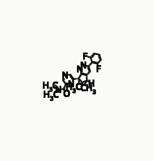 CN(C)C(=O)c1cncc([C@@]23CC[C@@H](c4cc(-c5c(F)cccc5F)nnc42)C3(C)C)n1